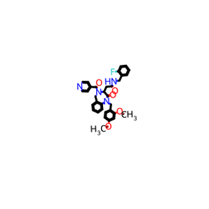 COc1ccc(CN2C(=O)C(CC(=O)NCc3ccccc3F)N(C(=O)c3ccncc3)Cc3ccccc32)c(OC)c1